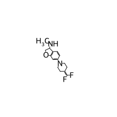 CNC1COc2cc(N3CCC(=C(F)F)CC3)ccc21